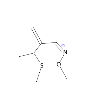 C=C(/C=N\OC)C(C)SC